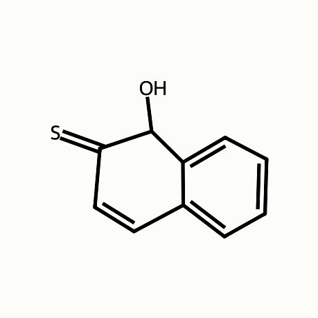 OC1C(=S)C=Cc2ccccc21